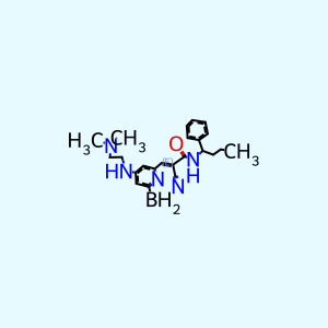 Bc1cc(NCCN(C)C)cc(/C=C(\C#N)C(=O)NC(CCC)c2ccccc2)n1